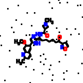 COc1cc2nc(C)ccc2cc1-c1cnc([C@H](CCCCCC(=O)c2ccon2)NC(=O)C2CN(C)C2)[nH]1